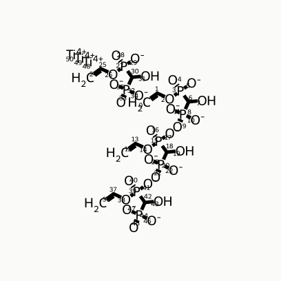 C=COP(=O)([O-])C(O)P(=O)([O-])[O-].C=COP(=O)([O-])C(O)P(=O)([O-])[O-].C=COP(=O)([O-])C(O)P(=O)([O-])[O-].C=COP(=O)([O-])C(O)P(=O)([O-])[O-].[Ti+4].[Ti+4].[Ti+4]